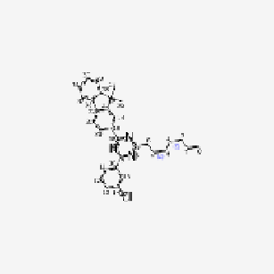 C=C/C=C\C=C/Cc1nc(-c2cccc(Cl)c2)nc(-c2ccc3c(c2)C(C)(C)c2ccccc2-3)n1